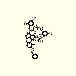 [2H]C([2H])([2H])N(Cc1ccc(OC)cc1OC)c1cc2c(N(Cc3ccc(OC)cc3OC)C(=O)OC(C)(C)C)ncnc2c(-c2c(C)ccc(OCc3ccccc3)c2C)n1